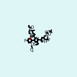 C=CC(=O)N1CCn2nc(-c3nc(-c4cnc5c(c4)CN(C(=O)OC(C)(C)C)CC5(F)F)c4ccsc4c3-c3c(F)cc(F)cc3OCCOC)cc2C1C